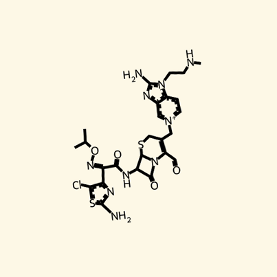 CNCCn1c(N)nc2c[n+](CC3=C(C=O)N4C(=O)C(NC(=O)/C(=N\OC(C)C)c5nc(N)sc5Cl)C4SC3)ccc21